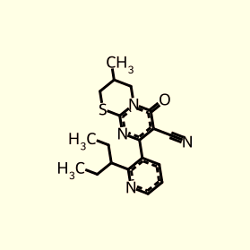 CCC(CC)c1ncccc1-c1nc2n(c(=O)c1C#N)CC(C)CS2